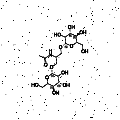 CC(=O)NC(CO[C@H]1OC(CO)[C@H](O)[C@@H](O)C1O)CO[C@H]1OC(CO)[C@H](O)[C@@H](O)C1O